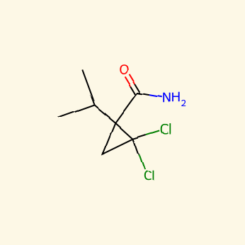 CC(C)C1(C(N)=O)CC1(Cl)Cl